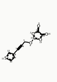 O=c1on(OCC#Cc2ccsc2)oc1=O